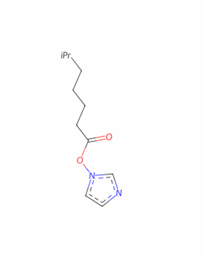 CC(C)CCCCC(=O)On1ccnc1